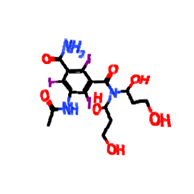 CC(=O)Nc1c(I)c(C(N)=O)c(I)c(C(=O)N(C(O)CCO)C(O)CCO)c1I